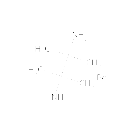 CC(C)(N)C(C)(C)N.[Pd]